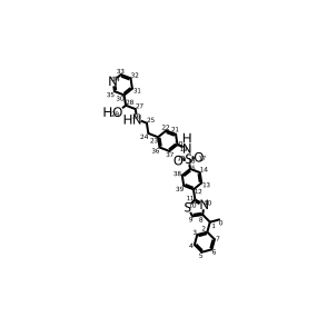 CC(c1ccccc1)c1csc(-c2ccc(S(=O)(=O)Nc3ccc(CCNCC(O)c4cccnc4)cc3)cc2)n1